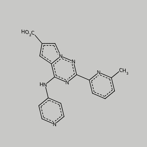 Cc1cccc(-c2nc(Nc3ccncc3)c3cc(C(=O)O)cn3n2)n1